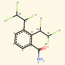 NC(=O)c1cccc(C(F)C(F)F)c1C(F)C(F)F